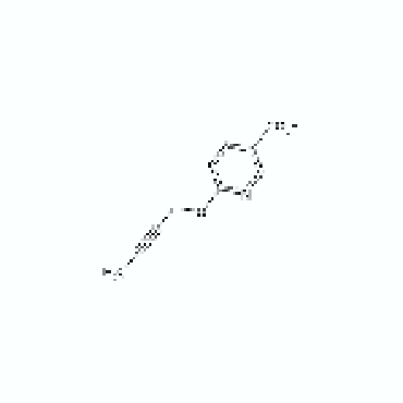 CC#CCOc1ccc(C(=O)O)cn1